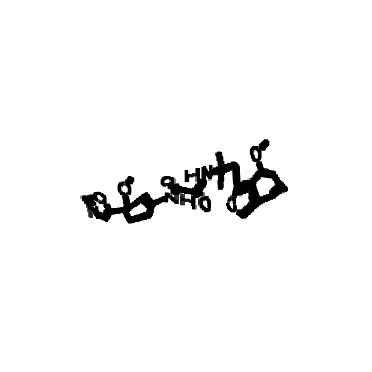 COc1cc(NC(=O)C(=O)NC(C)(C)Cc2occ3cccc(OC)c23)ccc1-c1cnco1